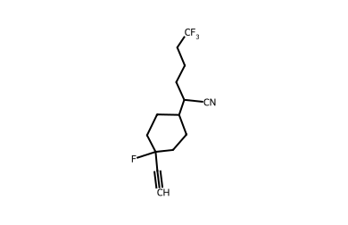 C#CC1(F)CCC(C(C#N)CCCC(F)(F)F)CC1